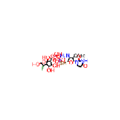 CO[C@@H]1[C@H](N)[C@@H](COP(=O)(S)OP(=O)(O)OC2OC3(O)C2C(O)C(O)C3[C@@H](F)CO)O[C@H]1n1ccc(=O)[nH]c1=O